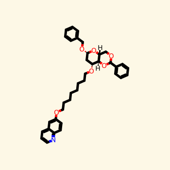 c1ccc(CO[C@H]2C[C@@H](OCCCCCCCCOc3ccc4ncccc4c3)[C@@H]3OC(c4ccccc4)OC[C@H]3O2)cc1